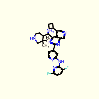 CC1(C)CNCCC1C(N)c1nc(-c2ccnc(Nc3nc(F)ccc3F)c2)nc2cncc(C3CCC3)c12